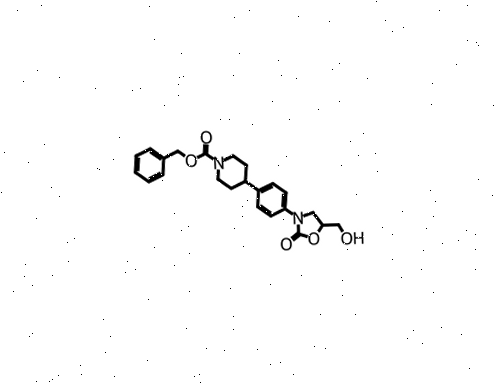 O=C(OCc1ccccc1)N1CCC(c2ccc(N3CC(CO)OC3=O)cc2)CC1